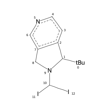 CC(C)(C)C1c2ccncc2CN1C(I)I